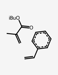 C=C(C)C(=O)OCC(C)C.C=Cc1ccccc1